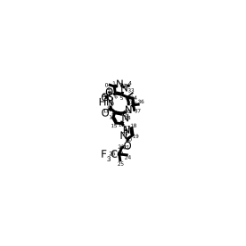 Cc1nn(C)c2c1S(=O)(=O)NC(=O)c1ccc(-n3ccc(OCC(C)(C)C(F)(F)F)n3)nc1N1C[C@@]2(C)CC1(C)C